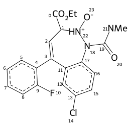 CCOC(=O)C1C=C(c2ccccc2F)c2cc(Cl)ccc2N(C(=O)NC)[NH+]1[O-]